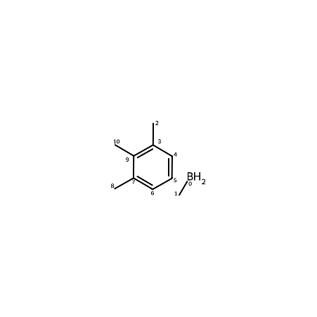 BC.Cc1cccc(C)c1C